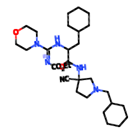 CCOC(=O)/N=C(\NC(CC1CCCCC1)C(=O)NC1(C#N)CCN(CC2CCCCC2)C1)N1CCOCC1